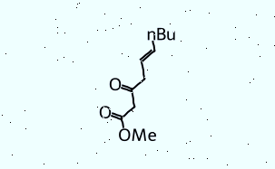 CCCCC=CCC(=O)CC(=O)OC